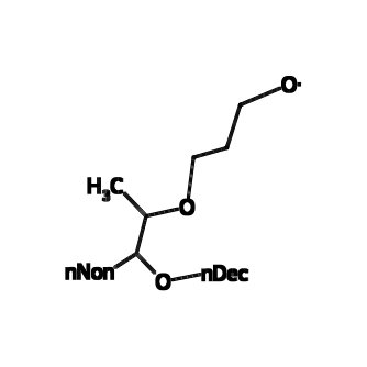 CCCCCCCCCCOC(CCCCCCCCC)C(C)OCCC[O]